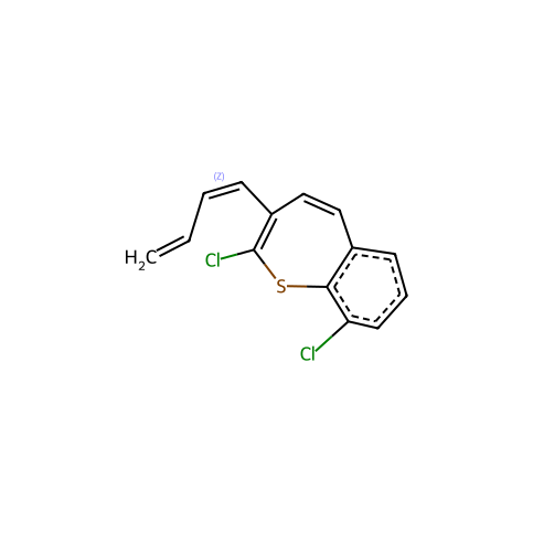 C=C/C=C\C1=C(Cl)Sc2c(Cl)cccc2C=C1